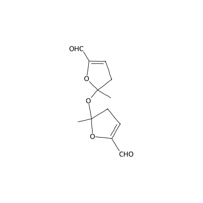 CC1(OC2(C)CC=C(C=O)O2)CC=C(C=O)O1